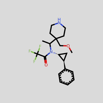 COCC1(C(C)N(C(=O)C(F)(F)F)[C@@H]2C[C@H]2c2ccccc2)CCNCC1